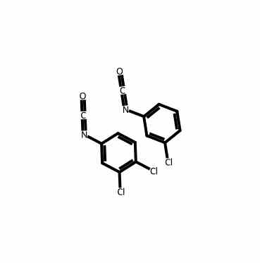 O=C=Nc1ccc(Cl)c(Cl)c1.O=C=Nc1cccc(Cl)c1